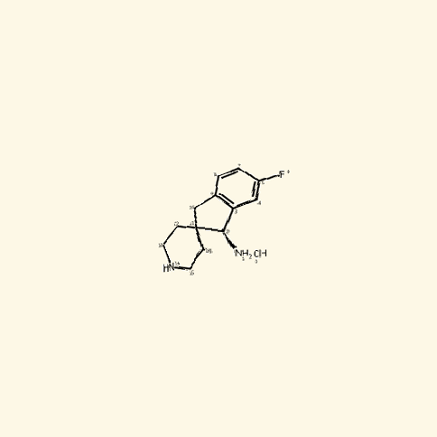 Cl.N[C@@H]1c2cc(F)ccc2CC12CCNCC2